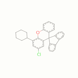 Clc1cc(C2CCCCC2)c2c(c1)C1(c3ccccc3O2)c2ccccc2-c2ccccc21